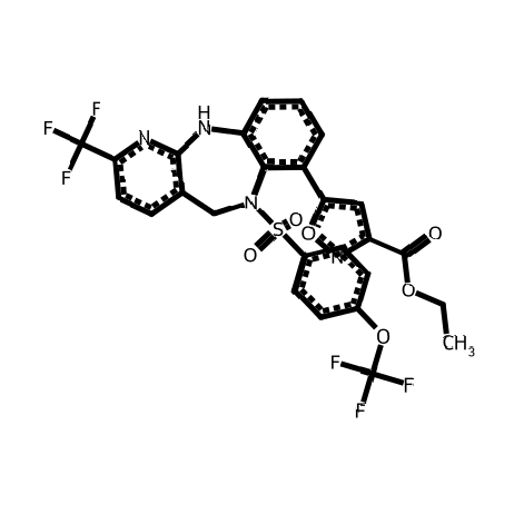 CCOC(=O)c1cc(-c2cccc3c2N(S(=O)(=O)c2ccc(OC(F)(F)F)cc2)Cc2ccc(C(F)(F)F)nc2N3)on1